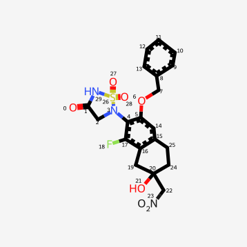 O=C1CN(c2c(OCc3ccccc3)cc3c(c2F)CC(O)(C[N+](=O)[O-])CC3)S(=O)(=O)N1